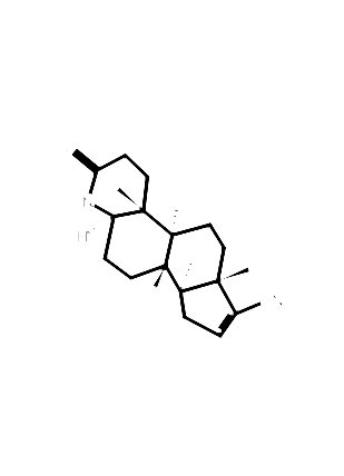 C[C@]12CCC(=O)N[C@@H]1CC[C@@H]1[C@@H]2CC[C@]2(C)C(C#N)=CC[C@@H]12